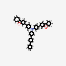 C1=CCc2oc3cc(-c4ccc(N(c5ccc(-c6ccc(-c7ccccc7)cc6)cc5)c5ccc(-c6ccc7c(c6)oc6ccccc67)cc5)cc4)ccc3c2C=C1